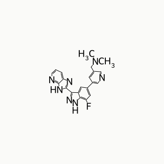 CN(C)Cc1cncc(-c2cc(F)c3[nH]nc(-c4nc5cccnc5[nH]4)c3c2)c1